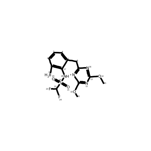 Bc1cccc(Cc2nc(OC)nc(OC)n2)c1NS(=O)(=O)C(F)F